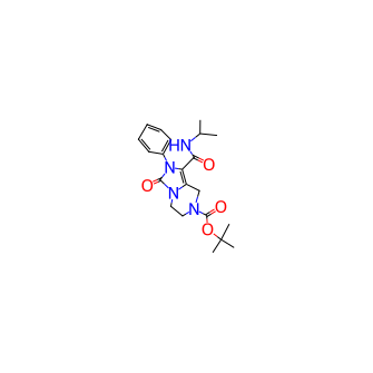 CC(C)NC(=O)c1c2n(c(=O)n1-c1ccccc1)CCN(C(=O)OC(C)(C)C)C2